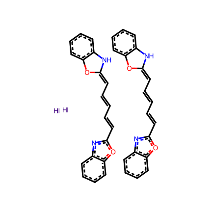 C(=CC=C1Nc2ccccc2O1)C=Cc1nc2ccccc2o1.C(=CC=C1Nc2ccccc2O1)C=Cc1nc2ccccc2o1.I.I